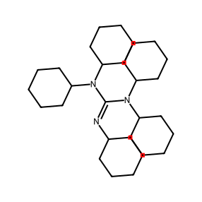 C1CCC(N=C(N(C2CCCCC2)C2CCCCC2)N(C2CCCCC2)C2CCCCC2)CC1